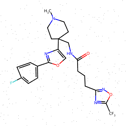 CN1CCC(CNC(=O)CCCc2noc(C(F)(F)F)n2)(c2coc(-c3ccc(F)cc3)n2)CC1